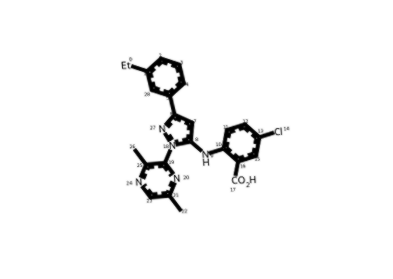 CCc1cccc(-c2cc(Nc3ccc(Cl)cc3C(=O)O)n(-c3nc(C)cnc3C)n2)c1